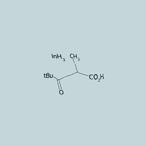 CC(C(=O)O)C(=O)C(C)(C)C.[InH3]